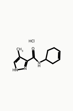 Cc1c[nH]nc1C(=O)NC1CC=CCC1.Cl